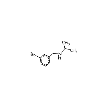 CC(C)NCc1cccc(Br)c1